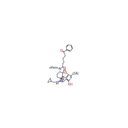 CCCCCN(C(=O)CCCCC(=O)c1ccccc1)[C@H]1CC[C@H]2[C@H]3Cc4c(O)cc(OC(C)=O)c5c4[C@@]2(CCN3CC2CC2)[C@H]1O5